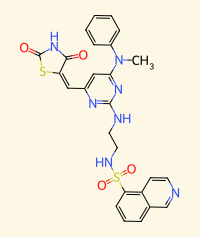 CN(c1ccccc1)c1cc(C=C2SC(=O)NC2=O)nc(NCCNS(=O)(=O)c2cccc3cnccc23)n1